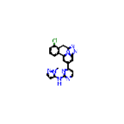 Cn1nccc1Nc1nccc(-c2cc3n4c(nnc4c2)Cc2c(Cl)cccc2-3)n1